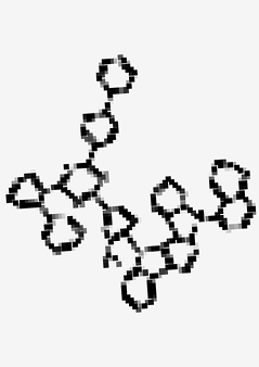 N#Cc1cc(-c2nc(-c3ccc(-c4ccccc4)cc3)nc(-c3ccccc3-c3ccccc3)n2)ccc1-n1c2ccccc2c2ccc3c(c4ccccc4n3-c3cccc4ccccc34)c21